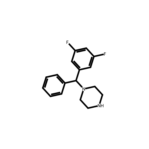 Fc1cc(F)cc(C(c2ccccc2)N2CCNCC2)c1